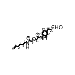 C=CCCCCNC(=O)COCC(=O)Nc1ccc(CCC=O)cc1